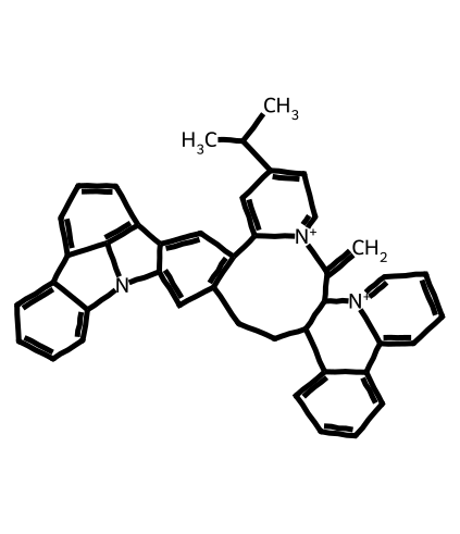 C=C1C2C(CCc3cc4c(cc3-c3cc(C(C)C)cc[n+]31)c1cccc3c5ccccc5n4c31)c1ccccc1-c1cccc[n+]12